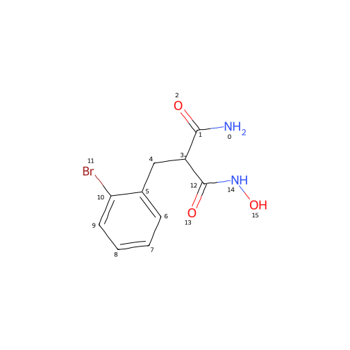 NC(=O)[C](Cc1ccccc1Br)C(=O)NO